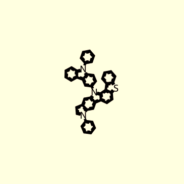 c1ccc(-n2ccc3cc4c(cc32)c2ccc3sc5ccccc5c3c2n4-c2ccc3c(c2)c2ccccc2n3-c2ccccc2)cc1